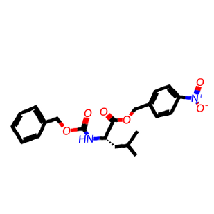 CC(C)C[C@H](NC(=O)OCc1ccccc1)C(=O)OCc1ccc([N+](=O)[O-])cc1